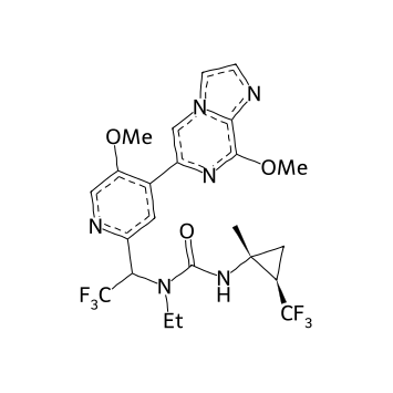 CCN(C(=O)N[C@]1(C)C[C@H]1C(F)(F)F)C(c1cc(-c2cn3ccnc3c(OC)n2)c(OC)cn1)C(F)(F)F